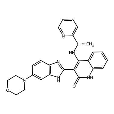 C[C@H](Nc1c(-c2nc3ccc(N4CCOCC4)cc3[nH]2)c(=O)[nH]c2ccccc12)c1ccccn1